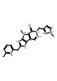 Cc1cccc(Cc2nc3c(s2)c2cnn(Cc4ccn(C)n4)c(=O)c2n3C)n1